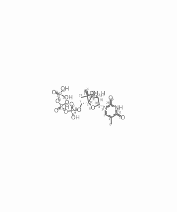 Cc1cn([C@@H]2O[C@]3(COP(=O)(O)OP(=O)(O)OP(=O)(O)O)[C@@H](O)[C@H]2OC3(C)C)c(=O)[nH]c1=O